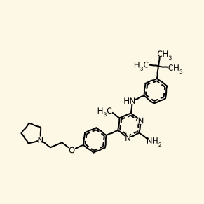 Cc1c(Nc2cccc(C(C)(C)C)c2)nc(N)nc1-c1ccc(OCCN2CCCC2)cc1